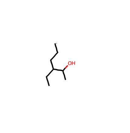 [CH2]CCC(CC)C(C)O